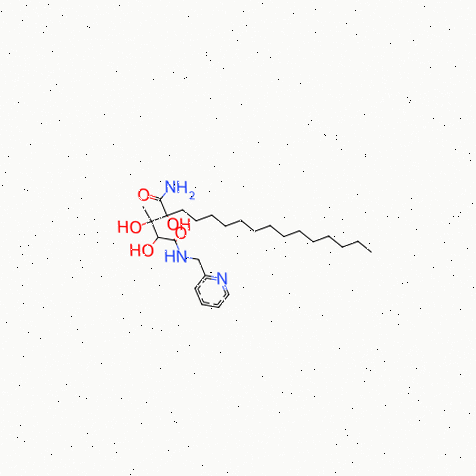 CCCCCCCCCCCCCCC(O)(C(N)=O)C(C)(O)C(O)C(=O)NCc1ccccn1